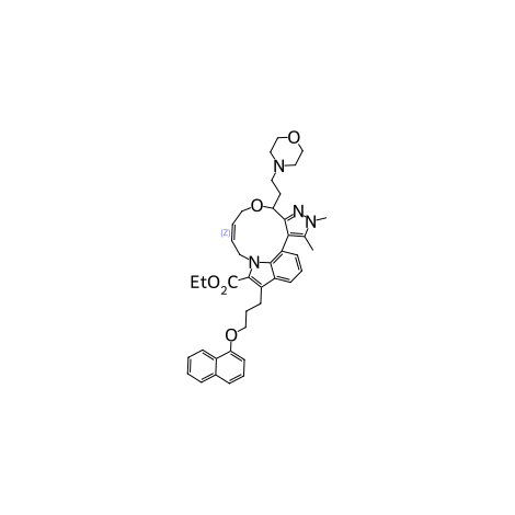 CCOC(=O)c1c(CCCOc2cccc3ccccc23)c2cccc3c2n1C/C=C\COC(CCN1CCOCC1)c1nn(C)c(C)c1-3